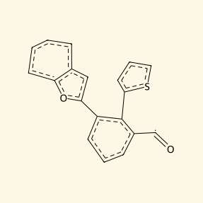 O=[C]c1cccc(-c2cc3ccccc3o2)c1-c1cccs1